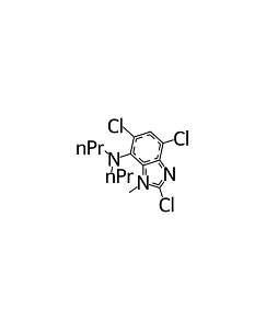 CCCN(CCC)c1c(Cl)cc(Cl)c2nc(Cl)n(C)c12